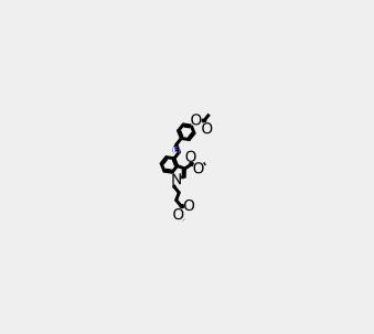 COC(=O)CCCn1cc(C(=O)OC)c2c(/C=C/c3ccc(OC(C)=O)cc3)cccc21